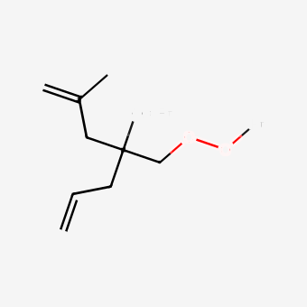 C=CCC(COOCC)(CC(=C)C)C(=O)OCC